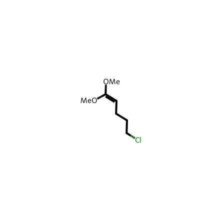 COC(=CCCCCl)OC